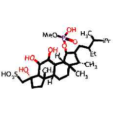 CCC(CC1C(OP(=O)(O)OC)[C@H]2C3C(O)C(O)C4C(C)(CC[C@@]4(O)CS(=O)(=O)O)[C@H]3CCC2(C)[C@H]1C)C(C)C(C)C